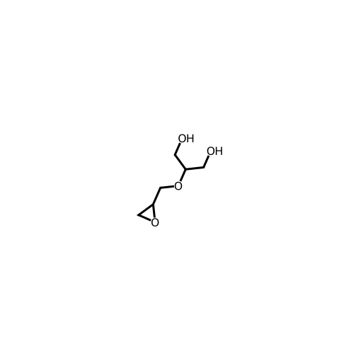 OCC(CO)OCC1CO1